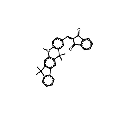 CN1c2ccc(C=C3C(=O)c4ccccc4C3=O)cc2C(C)(C)c2cc3c(cc21)C(C)(C)c1ccccc1-3